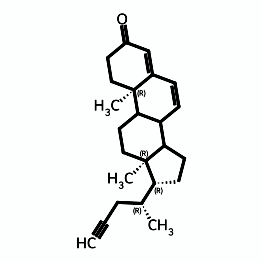 C#CC[C@@H](C)[C@H]1CCC2C3C=CC4=CC(=O)CC[C@]4(C)C3CC[C@@]21C